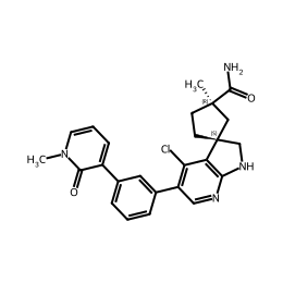 Cn1cccc(-c2cccc(-c3cnc4c(c3Cl)[C@@]3(CC[C@@](C)(C(N)=O)C3)CN4)c2)c1=O